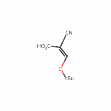 CCCCOC=C(C#N)C(=O)O